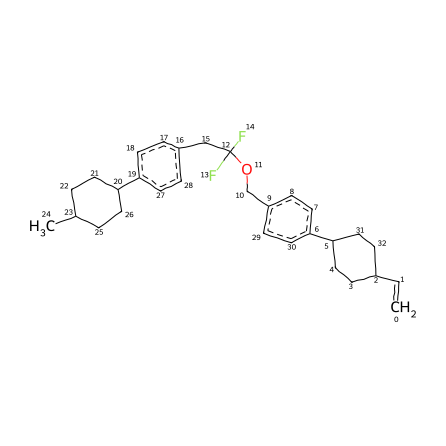 C=CC1CCC(c2ccc(COC(F)(F)Cc3ccc(C4CCC(C)CC4)cc3)cc2)CC1